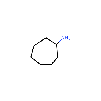 NC1[CH]CCCCC1